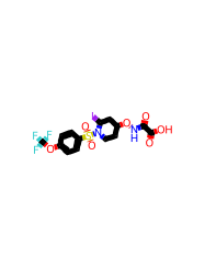 O=C(O)C(=O)NOC1CCN(S(=O)(=O)c2ccc(OC(F)(F)F)cc2)C(I)C1